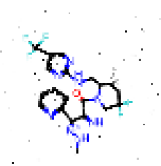 CN/N=C(\C(=N)C(=O)N1CC(F)(F)C[C@@H](C)C1CNc1ncc(C(F)(F)F)cn1)c1ccccn1